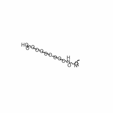 C=Cc1cc(C)nc(CCC(=O)NCCOCCOCCOCCOCCOCCOCCOCCOCCC(=O)O)c1